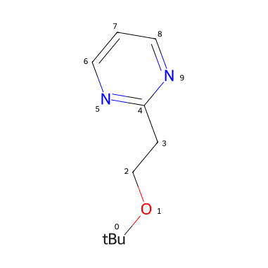 CC(C)(C)OCCc1ncccn1